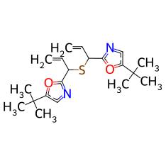 C=CC(SC(C=C)c1ncc(C(C)(C)C)o1)c1ncc(C(C)(C)C)o1